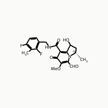 COc1c(C=O)n2c(c(C(=O)NCc3ccc(F)c(C)c3F)c1=O)C(O)C[C@@H]2C